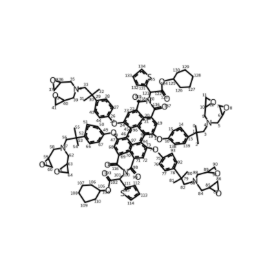 CC(C)(CN(CC1CO1)CC1CO1)c1ccc(Oc2cc3c4c(cc(Oc5ccc(C(C)(C)CN(CC6CO6)CC6CO6)cc5)c5c6c(Oc7ccc(C(C)(C)CN(CC8CO8)CC8CO8)cc7)cc7c8c(cc(Oc9ccc(C(C)(C)CN(CC%10CO%10)CC%10CO%10)cc9)c(c2c45)c86)C(=O)N(C(C(=O)OC2CCCCC2)c2cccs2)C7=O)C(=O)N(C(C(=O)OC2CCCCC2)c2cccs2)C3=O)cc1